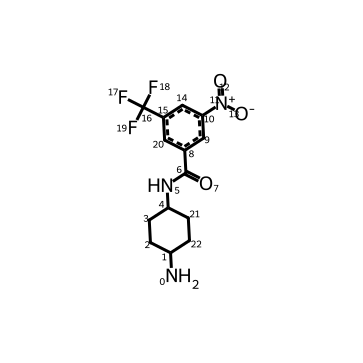 NC1CCC(NC(=O)c2cc([N+](=O)[O-])cc(C(F)(F)F)c2)CC1